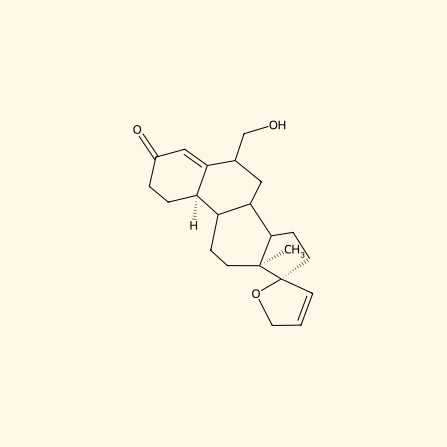 C[C@]12CCC3C(CC(CO)C4=CC(=O)CC[C@@H]43)C1CC[C@@]21C=CCO1